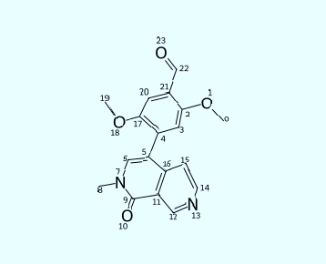 COc1cc(-c2cn(C)c(=O)c3cnccc23)c(OC)cc1C=O